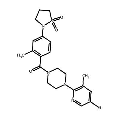 CCc1cnc(N2CCN(C(=O)c3ccc(N4CCCS4(=O)=O)cc3C)CC2)c(C)c1